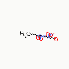 CCCCCCCC/C(=C/C/C=C/C/C=C(/CCC[C]=O)[N+](=O)[O-])[N+](=O)[O-]